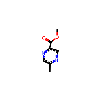 COC(=O)c1cnc(C)cn1